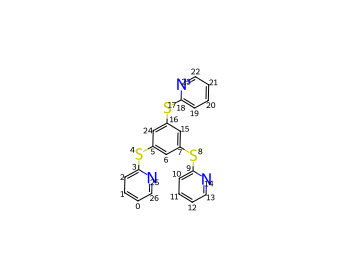 c1ccc(Sc2cc(Sc3ccccn3)cc(Sc3ccccn3)c2)nc1